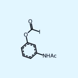 CC(=O)Nc1cccc(OC(=O)I)c1